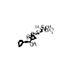 COc1c(C(O)C#Cc2ccccc2)ccc2c1cnn2COCC[Si](C)(C)C